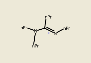 CCC/N=C(\CCC)N(CCC)CCC